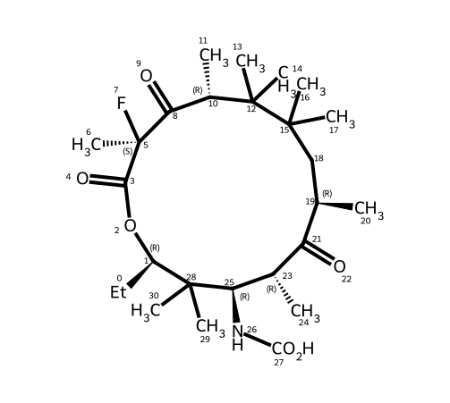 CC[C@H]1OC(=O)[C@@](C)(F)C(=O)[C@H](C)C(C)(C)C(C)(C)C[C@@H](C)C(=O)[C@H](C)[C@@H](NC(=O)O)C1(C)C